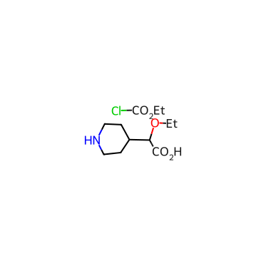 CCOC(=O)Cl.CCOC(C(=O)O)C1CCNCC1